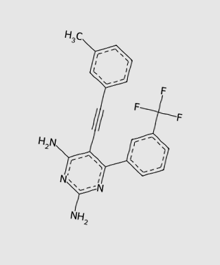 Cc1cccc(C#Cc2c(N)nc(N)nc2-c2cccc(C(F)(F)F)c2)c1